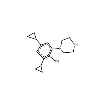 N#Cc1c(C2CC2)cc(C2CC2)cc1N1CCNCC1